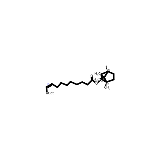 CCCCCCCC/C=C\CCCCCCCC(=O)O[C@H]1C[C@H]2CC[C@@]1(C)C2(C)C